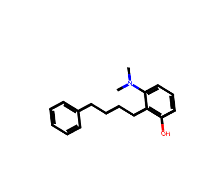 CN(C)c1cccc(O)c1CCCCc1ccccc1